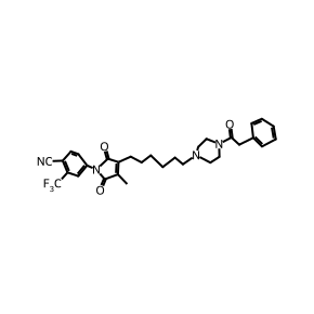 CC1=C(CCCCCCN2CCN(C(=O)Cc3ccccc3)CC2)C(=O)N(c2ccc(C#N)c(C(F)(F)F)c2)C1=O